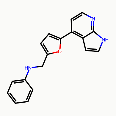 c1ccc(NCc2ccc(-c3ccnc4[nH]ccc34)o2)cc1